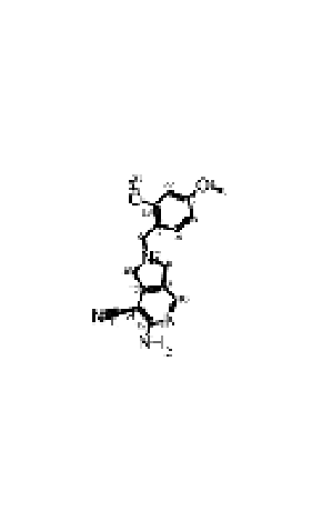 COc1ccc(CN2Cc3cnc(N)c(C#N)c3C2)c(OC)c1